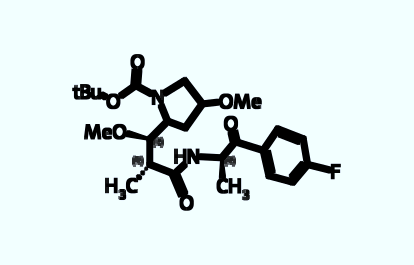 COC1CC([C@H](OC)[C@@H](C)C(=O)N[C@H](C)C(=O)c2ccc(F)cc2)N(C(=O)OC(C)(C)C)C1